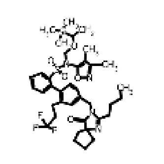 CCCCC1=NC2(CCCC2)C(=O)N1Cc1ccc(-c2ccccc2S(=O)(=O)N(COC(C)[Si](C)(C)C)c2onc(C)c2C)c(CCC(F)(F)F)c1